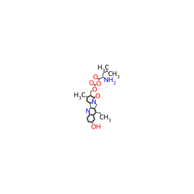 CCc1c2c(nc3ccc(O)cc13)-c1cc(C)c(COC(=O)OC(=O)C(N)CC(C)C)c(=O)n1C2